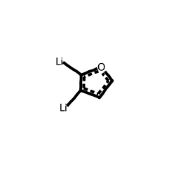 [Li][c]1cco[c]1[Li]